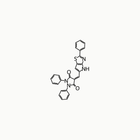 O=C1C(=Cc2cc3sc(-c4ccccc4)nc3[nH]2)C(=O)N(c2ccccc2)N1c1ccccc1